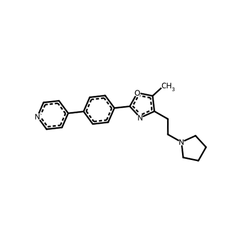 Cc1oc(-c2ccc(-c3ccncc3)cc2)nc1CCN1CCCC1